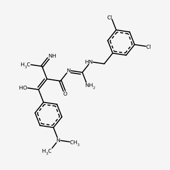 CC(=N)/C(C(=O)/N=C(\N)NCc1cc(Cl)cc(Cl)c1)=C(\O)c1ccc(N(C)C)cc1